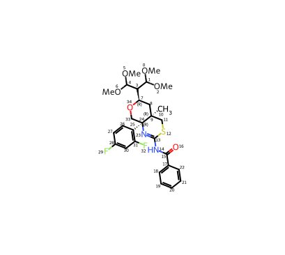 COC(OC)C(C(OC)OC)[C@H]1C[C@@]2(C)CSC(NC(=O)c3ccccc3)=N[C@@]2(c2ccc(F)cc2F)CO1